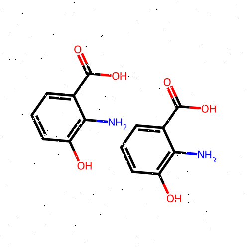 Nc1c(O)cccc1C(=O)O.Nc1c(O)cccc1C(=O)O